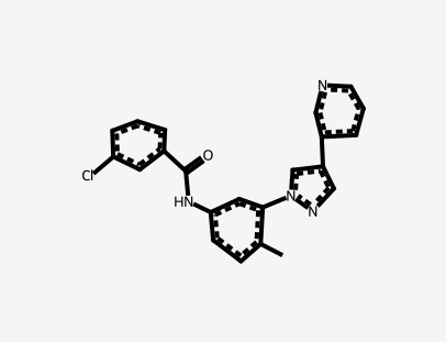 Cc1ccc(NC(=O)c2cccc(Cl)c2)cc1-n1cc(-c2cccnc2)cn1